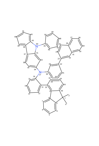 CC1(C)c2ccccc2-c2c(-c3ccccc3N(c3cccc(-c4ccc5ccccc5c4)c3)c3ccc4c5ccccc5n(-c5ccccc5)c4c3)cccc21